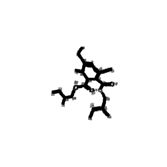 CCC1=CC(C)C(C(=O)OCC(C)CC)C(C(=O)OCC(C)CC)C1C